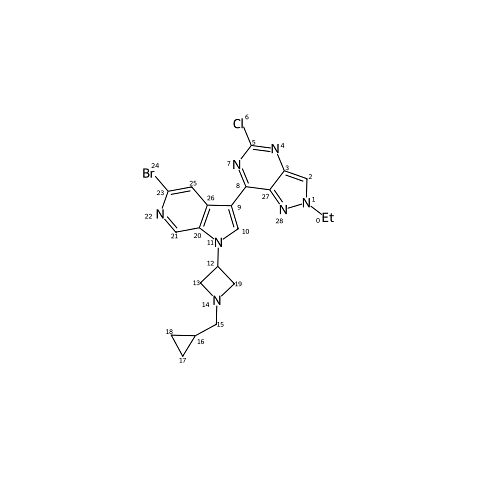 CCn1cc2nc(Cl)nc(-c3cn(C4CN(CC5CC5)C4)c4cnc(Br)cc34)c2n1